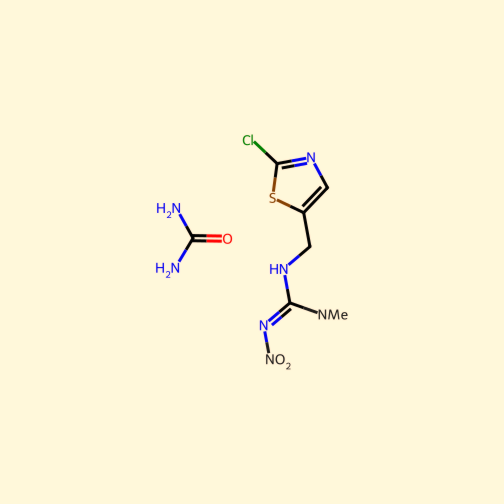 CN/C(=N\[N+](=O)[O-])NCc1cnc(Cl)s1.NC(N)=O